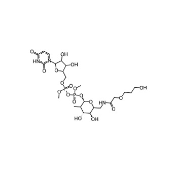 COP(=O)(OCC1OC(n2ccc(=O)[nH]c2=O)C(O)C1O)OP(=O)(OC)O[C@H]1OC(CNC(=O)COCCCO)[C@@H](O)[C@H](O)C1C